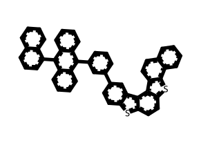 c1cc(-c2ccc3sc4ccc5sc6c7ccccc7ccc6c5c4c3c2)cc(-c2c3ccccc3c(-c3cccc4ccccc34)c3ccccc23)c1